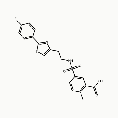 Cc1ccc(S(=O)(=O)NCCc2csc(-c3ccc(F)cc3)n2)cc1C(=O)O